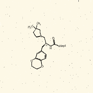 CCCCCCCC(=O)N[C@@H](Cc1ccc2c(c1)OCCO2)CN1CCC(C)(C)C1